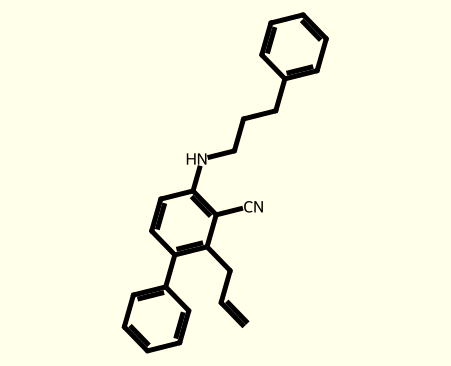 C=CCc1c(-c2ccccc2)ccc(NCCCc2ccccc2)c1C#N